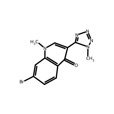 Cn1nnnc1-c1cn(C)c2cc(Br)ccc2c1=O